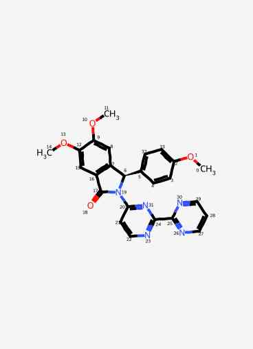 COc1ccc([C@@H]2c3cc(OC)c(OC)cc3C(=O)N2c2ccnc(-c3ncccn3)n2)cc1